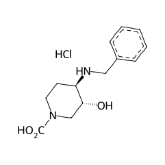 Cl.O=C(O)N1CC[C@@H](NCc2ccccc2)[C@H](O)C1